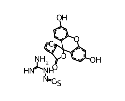 N=C(N)NN=C=S.O=C1OC2(c3ccc(O)cc3Oc3cc(O)ccc32)c2ccccc21